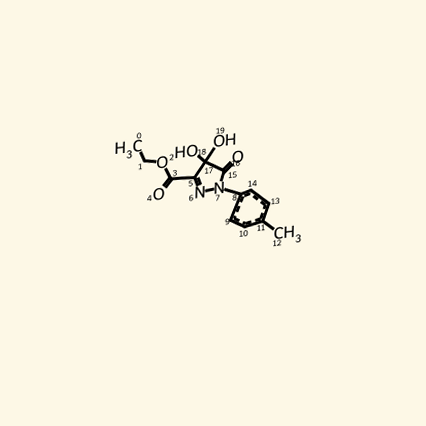 CCOC(=O)C1=NN(c2ccc(C)cc2)C(=O)C1(O)O